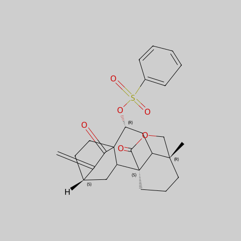 C=C1C(=O)C23CC[C@H]1CC2[C@@]12CCC[C@@](C)(COC1=O)C2C[C@H]3OS(=O)(=O)c1ccccc1